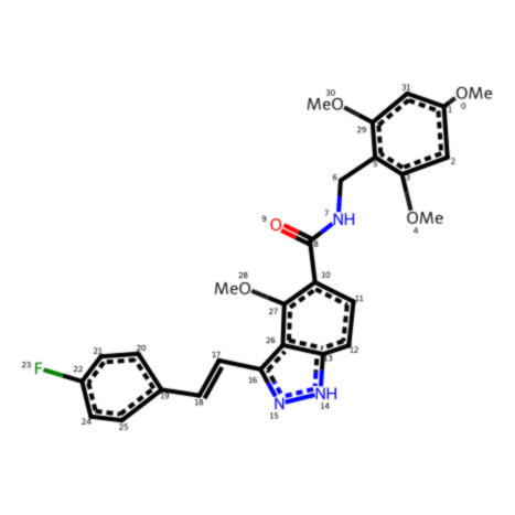 COc1cc(OC)c(CNC(=O)c2ccc3[nH]nc(/C=C/c4ccc(F)cc4)c3c2OC)c(OC)c1